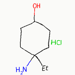 CCC1(N)CCC(O)CC1.Cl